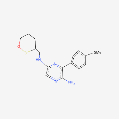 CSc1ccc(-c2nc(NCC3CCCOS3)cnc2N)cc1